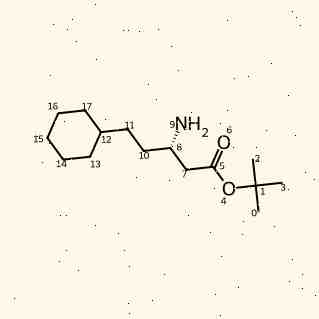 CC(C)(C)OC(=O)C[C@@H](N)CCC1CCCCC1